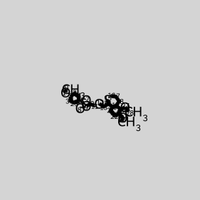 COc1ccc(S(=O)(=O)OCCOCC2SCCCc3c2ccc(OC)c3OC)cc1